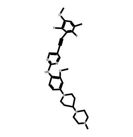 COc1cc(N2CCC(N3CCN(C)CC3)CC2)ccc1Nc1ncc(C#Cc2c(F)c(C)cc(OC)c2F)cn1